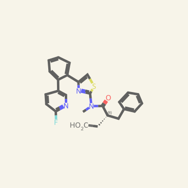 CN(C(=O)[C@@H](CC(=O)O)Cc1ccccc1)c1nc(-c2ccccc2-c2ccc(F)nc2)cs1